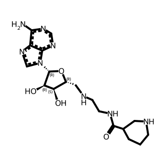 Nc1ncnc2c1ncn2[C@@H]1O[C@H](CNCCNC(=O)C2CCCNC2)[C@@H](O)[C@H]1O